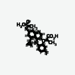 C[C@@H](Oc1cc(F)ccc1Nc1ncnc2cc(N=S(C)(C)=O)cc(C3CC3)c12)C(=O)O